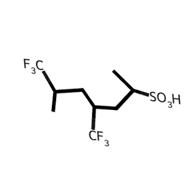 CC(CC(CC(C)S(=O)(=O)O)C(F)(F)F)C(F)(F)F